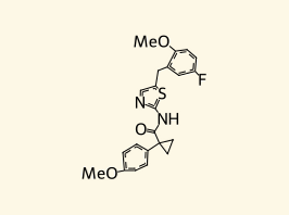 COc1ccc(C2(C(=O)Nc3ncc(Cc4cc(F)ccc4OC)s3)CC2)cc1